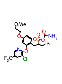 COCCOc1ccc(CC(CC(C)C)S(=O)(=O)OC(N)=O)c(Oc2ncc(C(F)(F)F)cc2Cl)c1